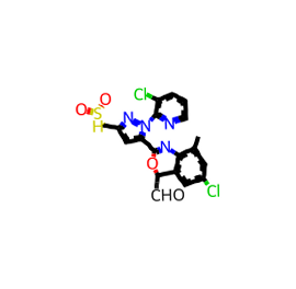 Cc1cc(Cl)cc2c1N=C(c1cc(C[SH](=O)=O)nn1-c1ncccc1Cl)OC2C=O